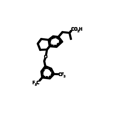 CC(Cc1ccc2c(c1)CCCC2OCc1cc(C(F)(F)F)cc(C(F)(F)F)c1)C(=O)O